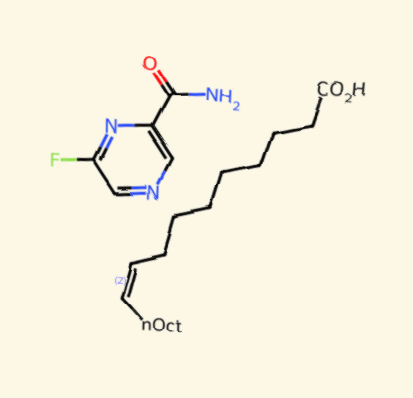 CCCCCCCC/C=C\CCCCCCCC(=O)O.NC(=O)c1cncc(F)n1